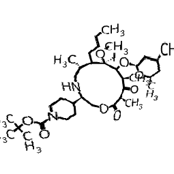 CCCCC1[C@@H](C)CN[C@H](C2CCN(C(=O)OC(C)(C)C)CC2)COC(=O)[C@H](C)C(=O)[C@H](C)C(O[C@H]2C[C@@H](C)C[C@@H](C)O2)[C@]1(I)OC